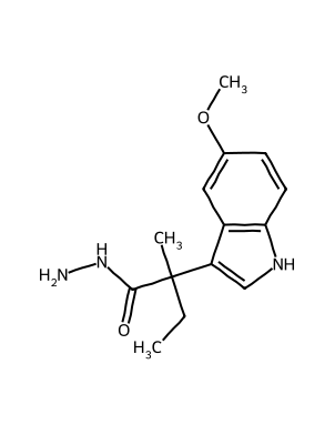 CCC(C)(C(=O)NN)c1c[nH]c2ccc(OC)cc12